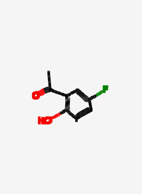 CC(=O)c1cc(F)c[c]c1O